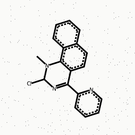 CN1c2c(ccc3ccccc23)C(c2ccccn2)=NC1Cl